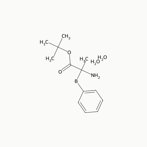 CC(C)(C)OC(=O)C(C)(N)[B]c1ccccc1.O.O